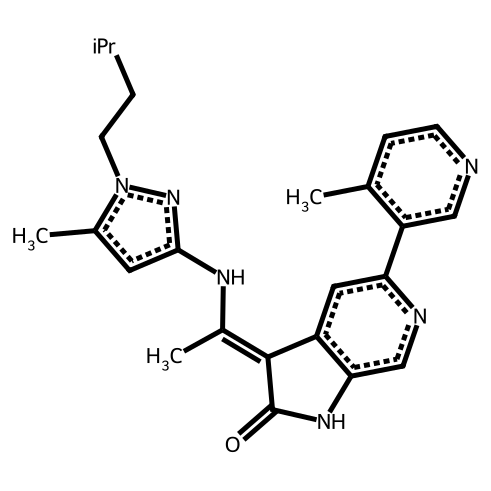 CC(Nc1cc(C)n(CCC(C)C)n1)=C1C(=O)Nc2cnc(-c3cnccc3C)cc21